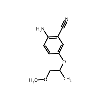 COCC(C)Oc1ccc(N)c(C#N)c1